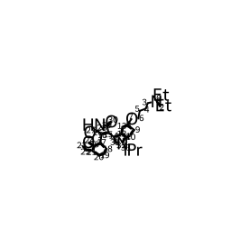 CCN(CC)CCCCOc1ccc2c(c1)c(C1=C(c3cccc4ccoc34)C(=O)NC1=O)cn2C(C)C